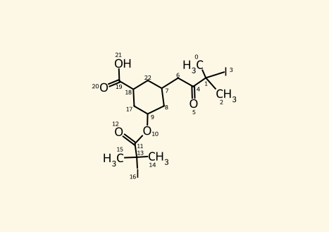 CC(C)(I)C(=O)CC1CC(OC(=O)C(C)(C)I)CC(C(=O)O)C1